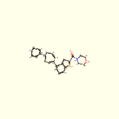 O=C(c1cc2c(C3=CC=C(c4ccccc4)CC=C3)cccc2s1)N1CCOCC1